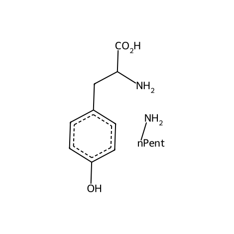 CCCCCN.NC(Cc1ccc(O)cc1)C(=O)O